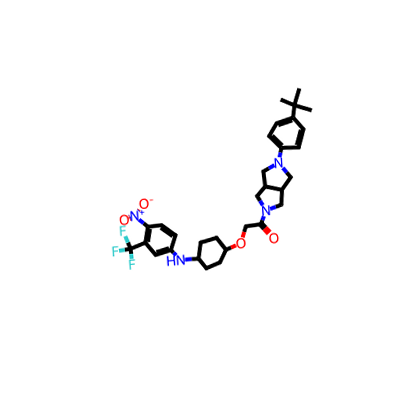 CC(C)(C)c1ccc(N2CC3CN(C(=O)COC4CCC(Nc5ccc([N+](=O)[O-])c(C(F)(F)F)c5)CC4)CC3C2)cc1